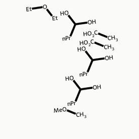 CC(=O)O.CC(=O)O.CCCC(O)O.CCCC(O)O.CCCC(O)O.CCOCC.COC